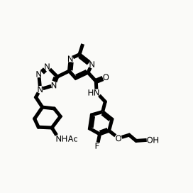 CC(=O)NC1CCC(Cn2nnc(-c3cc(C(=O)NCc4ccc(F)c(OCCO)c4)nc(C)n3)n2)CC1